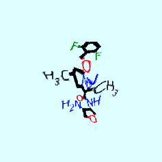 Cc1cc(OCc2c(F)cccc2F)n2nc(C)c(C(=O)N[C@@H]3COC[C@@H]3N)c2c1